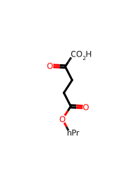 CCCOC(=O)CCC(=O)C(=O)O